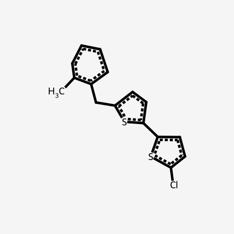 Cc1ccccc1Cc1ccc(-c2ccc(Cl)s2)s1